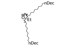 CCCCCCCCCCCCCCCCCCSC(CC)(OCCC)SCCCCCCCCCCCCCCCCCC